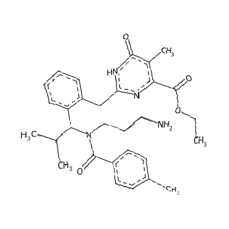 CCOC(=O)c1nc(Cc2ccccc2C(C(C)C)N(CCCN)C(=O)c2ccc(C)cc2)[nH]c(=O)c1C